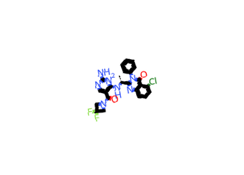 C[C@@H](Nc1nc(N)ncc1C(=O)N1CC(F)(F)C1)c1nc2cccc(Cl)c2c(=O)n1-c1ccccc1